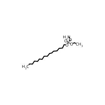 CCCCCCCCCCCCCCCCOP(=O)(ON)OCC